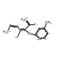 C=C(F)/C(Oc1cc(C)ccn1)=C(F)\C=C/C